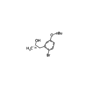 CCCCOc1ccc(Br)c(C[C@H](C)O)c1